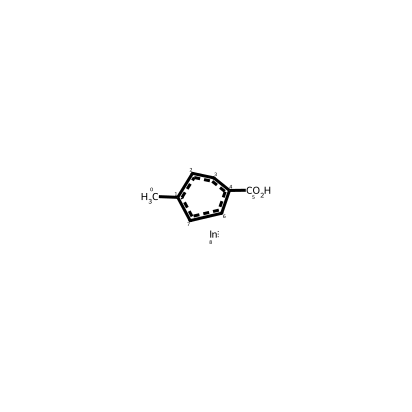 Cc1ccc(C(=O)O)cc1.[In]